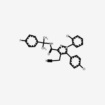 CC(C)(NC(=O)c1nn(-c2ccccc2Cl)c(-c2ccc(Cl)cc2)c1CC#N)c1ccc(F)cc1